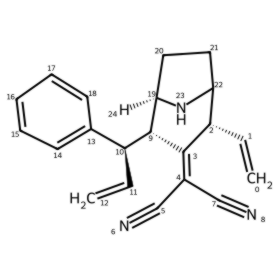 C=C[C@@H]1C(=C(C#N)C#N)[C@H]([C@@H](C=C)c2ccccc2)[C@H]2CCC1N2